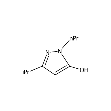 CCCn1nc(C(C)C)cc1O